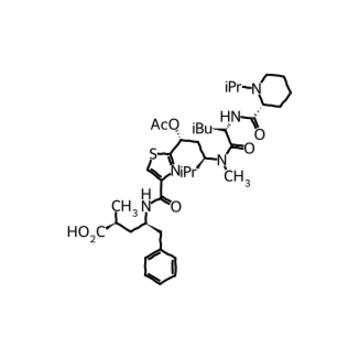 CC[C@H](C)[C@H](NC(=O)[C@H]1CCCCN1C(C)C)C(=O)N(C)[C@H](C[C@@H](OC(C)=O)c1nc(C(=O)N[C@@H](Cc2ccccc2)C[C@H](C)C(=O)O)cs1)C(C)C